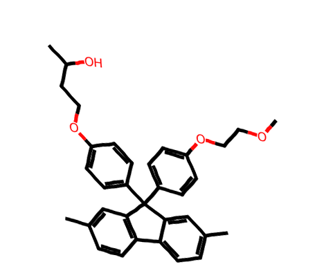 COCCOc1ccc(C2(c3ccc(OCCC(C)O)cc3)c3cc(C)ccc3-c3ccc(C)cc32)cc1